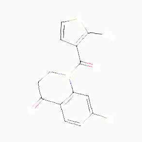 Cc1sccc1C(=O)N1CCC(=O)c2ccc(Cl)cc21